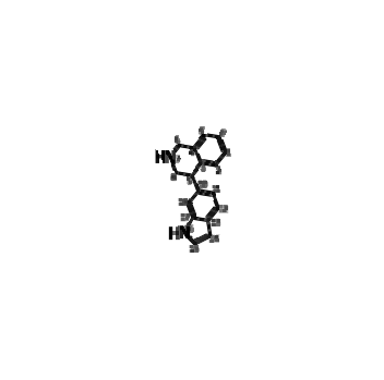 c1ccc2c(c1)CNCC2c1ccc2cc[nH]c2c1